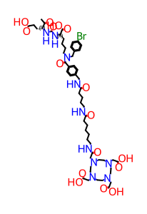 CC(=O)[C@@H](CCC(=O)O)NC(=O)N[C@H](CCCCN(Cc1ccc(Br)cc1)C(=O)c1ccc(CNC(=O)CCCCNC(=O)CCCCCCNC(=O)CN2CCN(CC(=O)O)CCN(CC(=O)O)CCN(CC(=O)O)CC2)cc1)C(=O)O